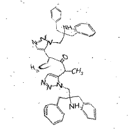 CC(C(=O)C(C)c1cnnn1CC(N)(Cc1ccccc1)Cc1ccccc1)c1cnnn1CC(N)(Cc1ccccc1)Cc1ccccc1